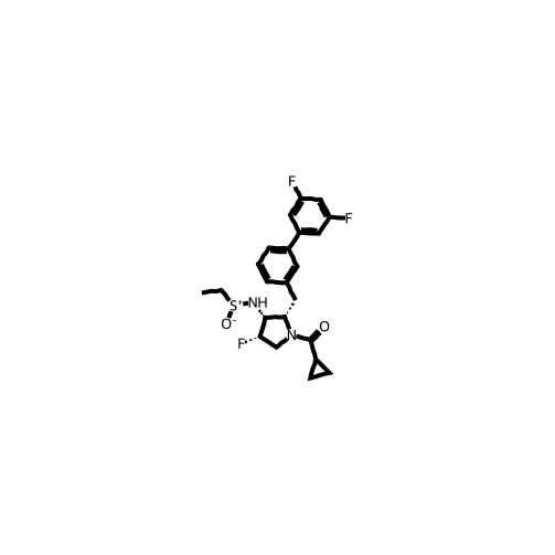 CC[S+]([O-])N[C@H]1[C@@H](F)CN(C(=O)C2CC2)[C@H]1Cc1cccc(-c2cc(F)cc(F)c2)c1